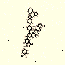 CC(C)c1sccc1[C@@H]1COCCN1C1CC2(CCN(c3ccc(C(=O)NS(=O)(=O)c4ccc(NC[C@H]5CC[C@](C)(O)CC5)c([N+](=O)[O-])c4)c(N4c5cc6cc[nH]c6nc5O[C@H]5COCC[C@@H]54)c3)CC2)C1